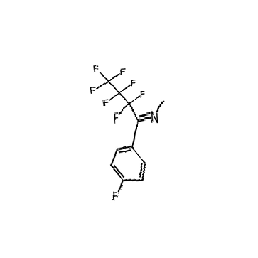 C/N=C(/c1ccc(F)cc1)C(F)(F)C(F)(F)C(F)(F)F